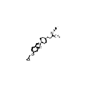 CC(CC[C@H]1CC[C@H](n2cc3ccc(OCC4CC4)cc3n2)CC1)N=[N+]=[N-]